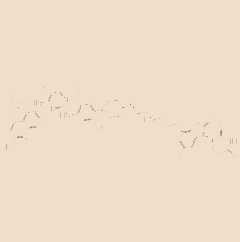 CCOc1cc(N2CCC(NCCNCCCc3cc(F)cc4c3oc(=O)n4C3CCC(=O)NC3=O)CC2)c(CC)cc1Nc1ncc(Br)c(Nc2ccc3nc(CC)ccc3c2P(C)(C)=O)n1